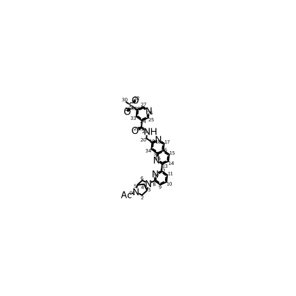 CC(=O)N1CC2CC1CN2c1cccc(-c2ccc3cnc(CNC(=O)c4cncc(S(C)(=O)=O)c4)cc3n2)n1